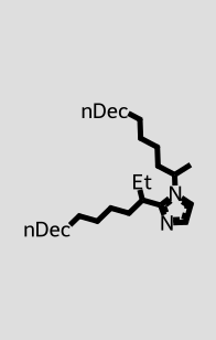 CCCCCCCCCCCCCCC(CC)c1nccn1C(C)CCCCCCCCCCCCCC